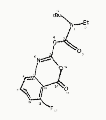 CCN(C(=O)Oc1nc2cccc(F)c2c(=O)o1)C(C)(C)C